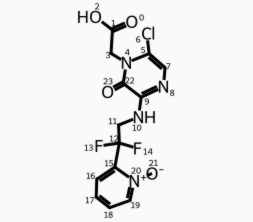 O=C(O)Cn1c(Cl)cnc(NCC(F)(F)c2cccc[n+]2[O-])c1=O